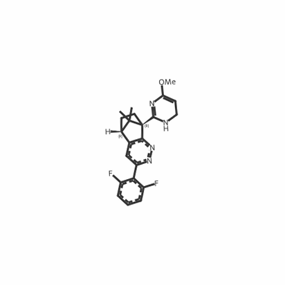 COC1=CCNC([C@@]23CC[C@@H](c4cc(-c5c(F)cccc5F)nnc42)C3(C)C)=N1